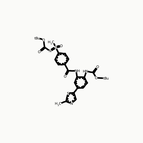 Cc1ncc(-c2ccc(NC(=O)OC(C)(C)C)c(NC(=O)c3ccc(S(C)(=O)=NC(=O)OC(C)(C)C)cc3)c2)s1